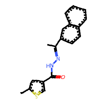 C/C(=N\NC(=O)c1csc(C)c1)c1ccc2ccccc2c1